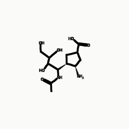 CC(=O)NC(C(O)C(O)CO)[C@@H]1CC(C(=O)O)C[C@@H]1N